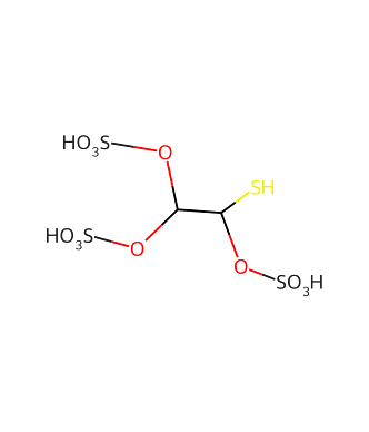 O=S(=O)(O)OC(S)C(OS(=O)(=O)O)OS(=O)(=O)O